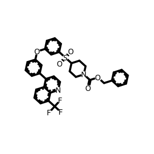 O=C(OCc1ccccc1)N1CCC(S(=O)(=O)c2cccc(Oc3cccc(-c4ccnc5c(C(F)(F)F)cccc45)c3)c2)CC1